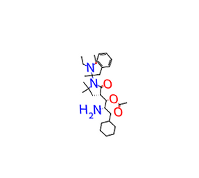 CCN(CC)C(C)(Cc1ccccc1)N1C(=O)[C@H]([C@H](OC(C)=O)[C@@H](N)CC2CCCCC2)CC1(C)C